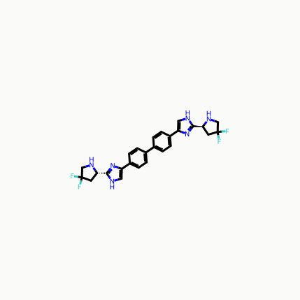 FC1(F)CN[C@H](c2nc(-c3ccc(-c4ccc(-c5c[nH]c([C@@H]6CC(F)(F)CN6)n5)cc4)cc3)c[nH]2)C1